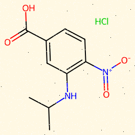 CC(C)Nc1cc(C(=O)O)ccc1[N+](=O)[O-].Cl